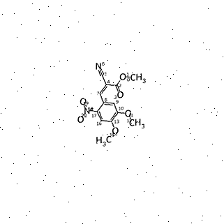 COC(=O)C(C#N)=Cc1cc(OC)c(OC)cc1[N+](=O)[O-]